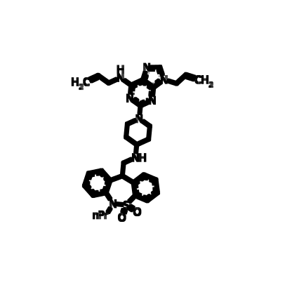 C=CCNc1nc(N2CCC(NCC3c4ccccc4N(CCC)S(=O)(=O)c4ccccc43)CC2)nc2c1ncn2CC=C